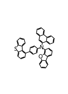 c1ccc2c(c1)cc(N(c1ccc(-c3cccc4sc5ccccc5c34)cc1)c1cccc3c1oc1ccccc13)c1ccccc12